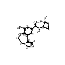 O=C(NC1CCC1(F)F)c1cc(F)c2c(c1)-c1cncn1CCO2